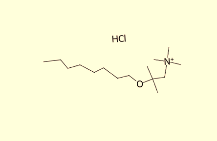 CCCCCCCCOC(C)(C)C[N+](C)(C)C.Cl